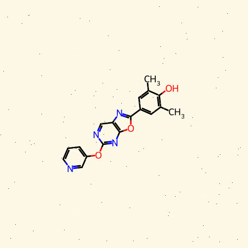 Cc1cc(-c2nc3cnc(Oc4cccnc4)nc3o2)cc(C)c1O